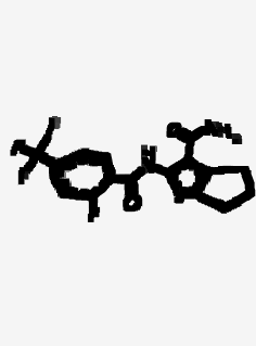 NC(=O)c1c(NC(=O)c2ccc(C(F)(F)F)cc2F)sc2c1CCC2